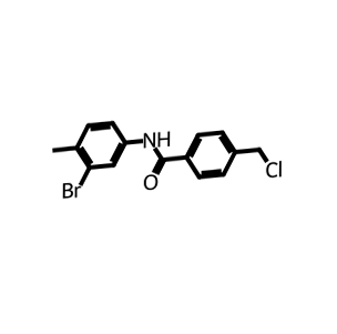 Cc1ccc(NC(=O)c2ccc(CCl)cc2)cc1Br